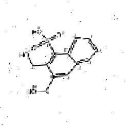 O=S(=O)(O)c1c(CO)c(CO)cc2ccccc12